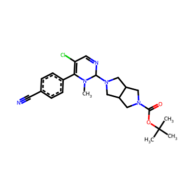 CN1C(c2ccc(C#N)cc2)=C(Cl)C=NC1N1CC2CN(C(=O)OC(C)(C)C)CC2C1